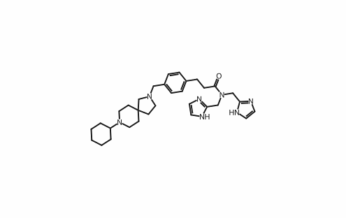 O=C(CCc1ccc(CN2CCC3(CCN(C4CCCCC4)CC3)C2)cc1)N(Cc1ncc[nH]1)Cc1ncc[nH]1